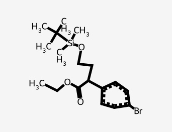 CCOC(=O)C(CCO[Si](C)(C)C(C)(C)C)c1ccc(Br)cc1